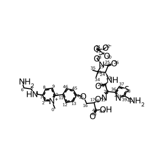 C[n+]1cc(NCCN)ccc1-c1ccc(OCC(O/N=C(\C(=O)N[C@@H]2C(=O)N(OS(=O)(=O)[O-])C2(C)C)c2csc(N)n2)C(=O)O)cc1